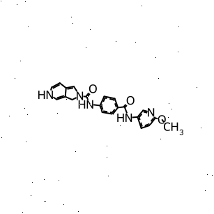 COc1ccc(NC(=O)c2ccc(NC(=O)N3C=C4C=CNC=C4C3)cc2)cn1